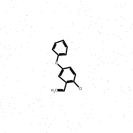 C=Cc1cc(Oc2ccccc2)ccc1Cl